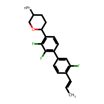 C/C=C/c1ccc(-c2ccc(C3CCC(CCC)CO3)c(F)c2F)cc1F